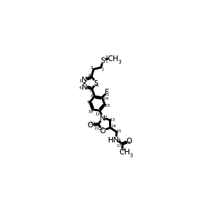 CSCCc1nnc(-c2ccc(N3CC(CNC(C)=O)OC3=O)cc2F)s1